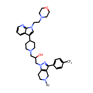 CC(=O)N1CCc2c(c(-c3ccc(C(F)(F)F)cc3)nn2CC(O)CN2CCC(c3cn(CCN4CCOCC4)c4ncccc34)CC2)C1